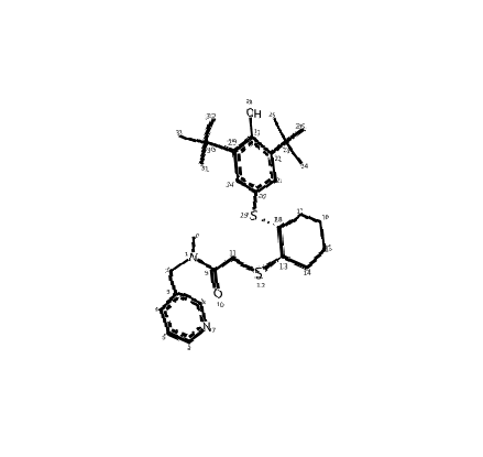 CN(Cc1cccnc1)C(=O)CS[C@@H]1CCCC[C@H]1Sc1cc(C(C)(C)C)c(O)c(C(C)(C)C)c1